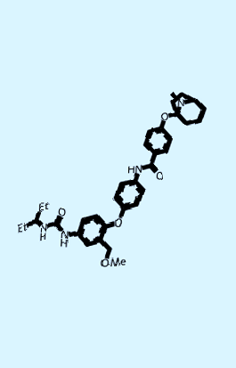 CCC(CC)NC(=O)Nc1ccc(Oc2ccc(NC(=O)c3ccc(OC45CCCC(CC4)N5C)cc3)cc2)c(COC)c1